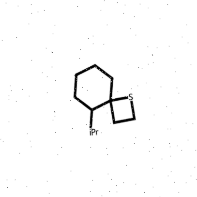 CC(C)C1CCCCC12CCS2